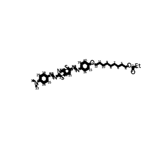 CCC(=O)OCCCCCCCCCOc1ccc(N=Nc2cc3sc(N=Nc4ccc(N(C)C)cc4)nc3s2)cc1